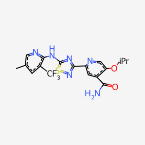 Cc1cnc(Nc2nc(-c3cc(C(N)=O)c(OC(C)C)cn3)ns2)c(C(F)(F)F)c1